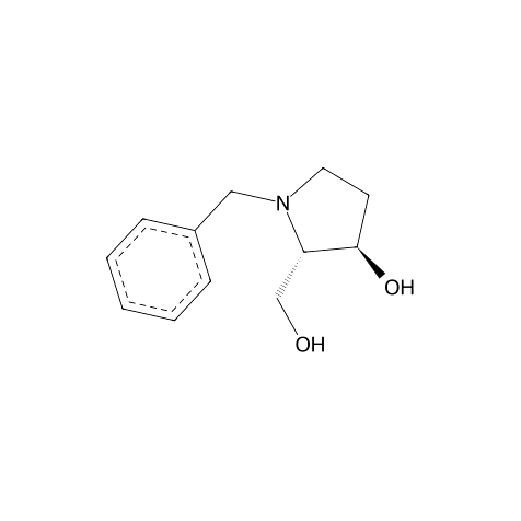 OC[C@H]1[C@H](O)CCN1Cc1ccccc1